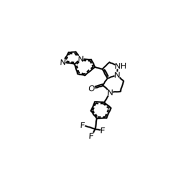 O=C1C2=C(c3ccc4nccn4c3)CNN2CCN1c1ccc(C(F)(F)F)cc1